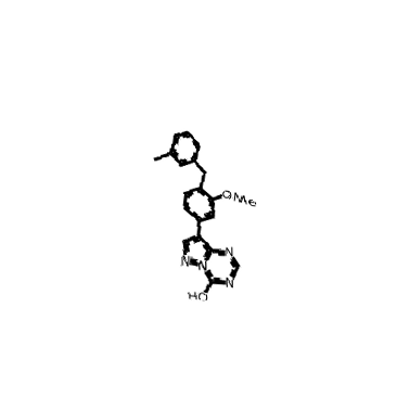 COc1cc(-c2cnn3c(O)ncnc23)ccc1Cc1cccc(C)c1